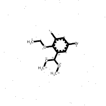 CCOc1c(I)cc(Br)cc1C(OC)OC